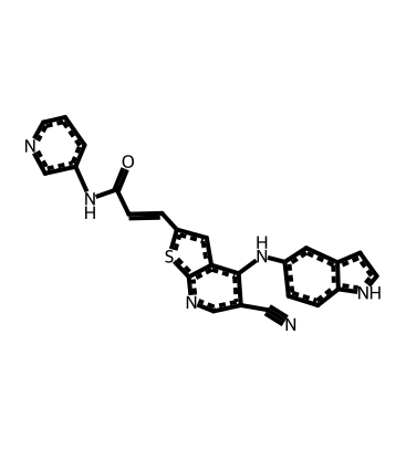 N#Cc1cnc2sc(/C=C/C(=O)Nc3cccnc3)cc2c1Nc1ccc2[nH]ccc2c1